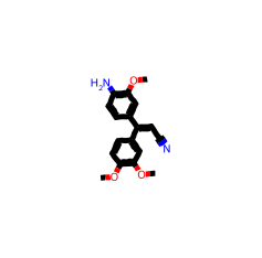 COc1cc(/C(=C/C#N)c2ccc(OC)c(OC)c2)ccc1N